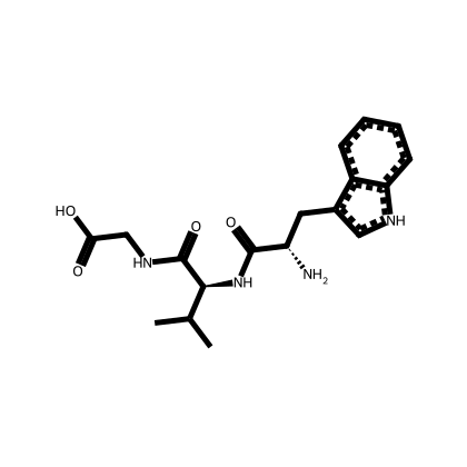 CC(C)[C@H](NC(=O)[C@@H](N)Cc1c[nH]c2ccccc12)C(=O)NCC(=O)O